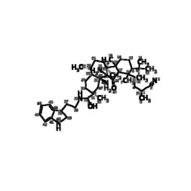 C[C@H](C#N)CCC1(C)C(C(C)(C)C)CCC2(C)C1C(=O)C1(N)[C@@]2(C)CC[C@@H](C)C2CC[C@](C)(C(O)NCCC3CNc4ccccc43)C[C@]21N